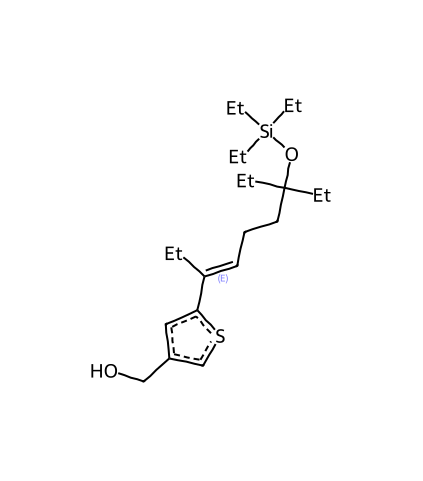 CC/C(=C\CCC(CC)(CC)O[Si](CC)(CC)CC)c1cc(CO)cs1